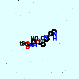 CC(C)(C)OC(=O)Nc1cccc(OCc2cccc(-c3ccc(-c4ccc5c(c4)NCCC5)nc3C(=O)O)c2)c1